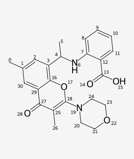 Cc1cc(C(C)Nc2ccccc2C(=O)O)c2oc(N3CCOCC3)c(C)c(=O)c2c1